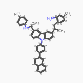 COC(Nc1ccc(C#N)cc1)c1ccc2c(c1)c1cc(C(C)Cc3ccc(C)cc3N)ccc1n2-c1ccc(-c2ccc3ccccc3c2)cc1